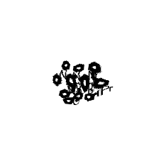 CC(C)c1cccc(C(C)C)c1B1c2ccccc2N(c2ccccc2)c2cc3c(cc21)B1c2ccc4oc5ccccc5c4c2N(c2ccccc2)c2cc(N(c4ccccc4)c4ccccc4)cc(c21)N3c1ccccc1